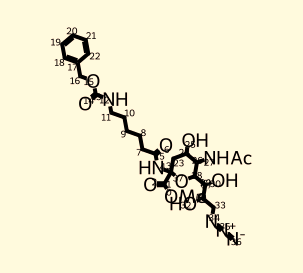 COC(=O)C1(NC(=O)CCCCCNC(=O)OCc2ccccc2)CC(O)C(NC(C)=O)C([C@@H](O)[C@H](O)CN=[N+]=[N-])O1